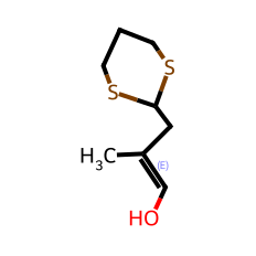 C/C(=C\O)CC1SCCCS1